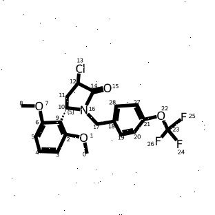 COc1cccc(OC)c1[C@@H]1CC(Cl)C(=O)N1Cc1ccc(OC(F)(F)F)cc1